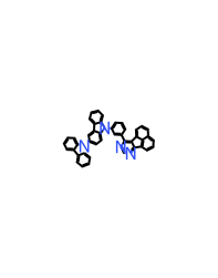 c1cc(-c2ncnc3c2-c2cccc4cccc-3c24)cc(-n2c3ccccc3c3cc(-n4c5ccccc5c5ccccc54)ccc32)c1